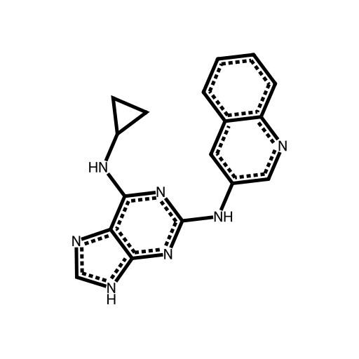 c1ccc2ncc(Nc3nc(NC4CC4)c4nc[nH]c4n3)cc2c1